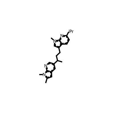 Cc1cc2cc(C(C)CCc3cn(C)c4nc(C(C)C)ccc34)cnc2n1C